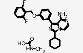 CNC(=O)O.Nc1nccn2c(C3CCCCC3)nc(-c3cccc(OCc4c(F)cccc4F)c3)c12